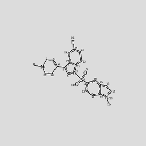 CN1CC=C(c2cn(S(=O)(=O)c3ccc4c(ccn4C)c3)c3ccc(F)cc23)CC1